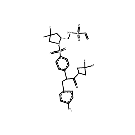 C=CS(=O)(=O)NC[C@H]1CC(F)(F)CN1S(=O)(=O)c1ccc(C(Cc2ccc(C(F)(F)F)cc2)C(=O)N2CC(F)(F)C2)cc1